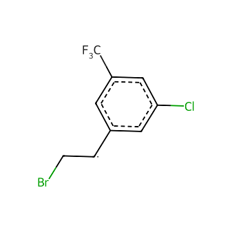 FC(F)(F)c1cc(Cl)cc([CH]CBr)c1